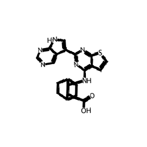 O=C(O)C1C2CCC(CC2)C1Nc1nc(-c2c[nH]c3ncncc23)nc2sccc12